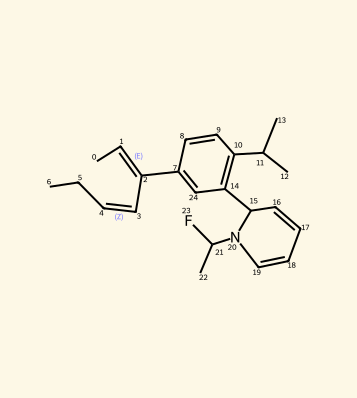 C/C=C(\C=C/CC)c1ccc(C(C)C)c(C2C=CC=CN2C(C)F)c1